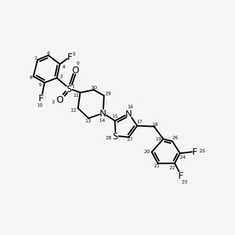 O=S(=O)(c1c(F)cccc1F)C1CCN(c2nc(Cc3ccc(F)c(F)c3)cs2)CC1